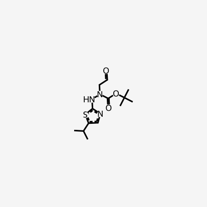 CC(C)c1cnc(NN(CC=O)C(=O)OC(C)(C)C)s1